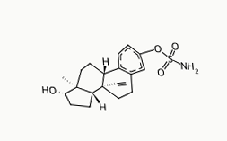 C=C[C@@]12CCc3cc(OS(N)(=O)=O)ccc3[C@H]1CC[C@@]1(C)[C@H]2CC[C@@H]1O